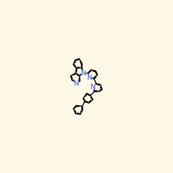 c1ccc(-c2ccc(-c3cccc(-c4cccc(-n5c6ccccc6c6ccncc65)n4)n3)cc2)cc1